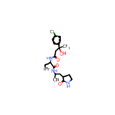 CC(C)CC(NC(=O)CC(O)(c1ccc(Cl)cc1)C(F)(F)F)C(=O)NC(C#N)CC1CCNC1=O